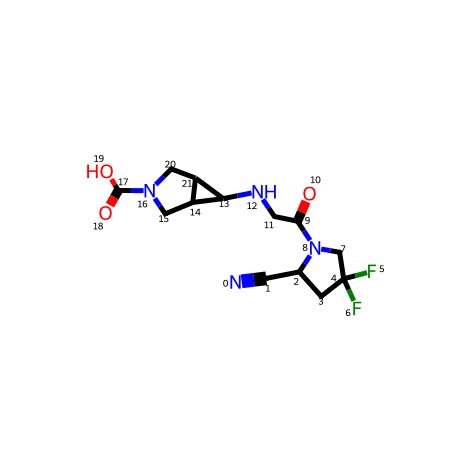 N#CC1CC(F)(F)CN1C(=O)CNC1C2CN(C(=O)O)CC21